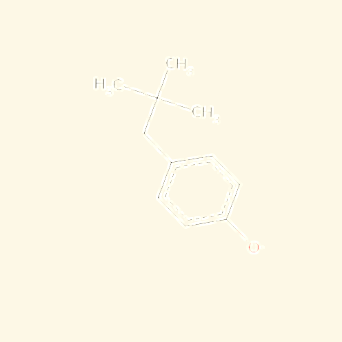 CC(C)(C)Cc1ccc([O])cc1